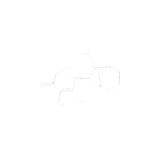 C=C1CC=C(C2C3C=CCN(C3)N2C=O)C(O)=C1O